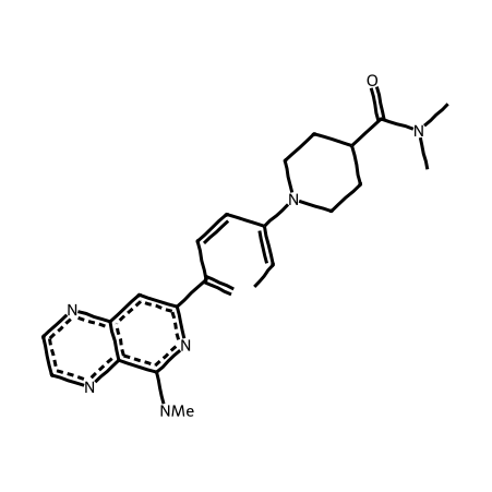 C=C(/C=C\C(=C/C)N1CCC(C(=O)N(C)C)CC1)c1cc2nccnc2c(NC)n1